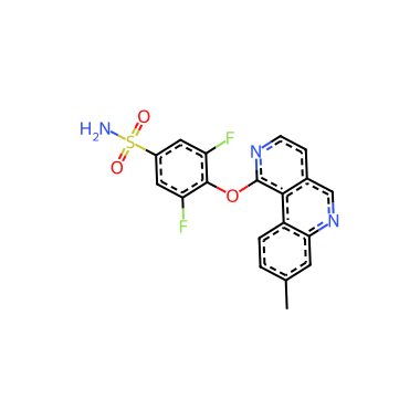 Cc1ccc2c(c1)ncc1ccnc(Oc3c(F)cc(S(N)(=O)=O)cc3F)c12